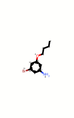 CCCCOc1cc(N)cc(Br)c1